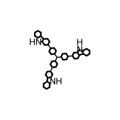 c1ccc2c(c1)[nH]c1cc(-c3ccc(C(c4ccc(-c5ccc6c(c5)[nH]c5ccccc56)cc4)c4ccc(-c5ccc6c(c5)[nH]c5ccccc56)cc4)cc3)ccc12